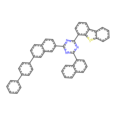 c1ccc(-c2ccc(-c3ccc4ccc(-c5nc(-c6cccc7ccccc67)nc(-c6cccc7c6sc6ccccc67)n5)cc4c3)cc2)cc1